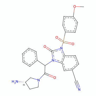 COc1ccc(S(=O)(=O)n2c(=O)n(C(C(=O)N3CC[C@H](N)C3)c3ccccc3)c3cc(C#N)ccc32)cc1